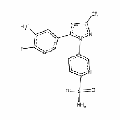 Cc1cc(-c2nc(C(F)(F)F)nn2-c2ccc(S(N)(=O)=O)nc2)ccc1F